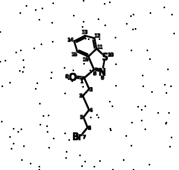 O=C(CCCCCBr)c1nsc2ccccc12